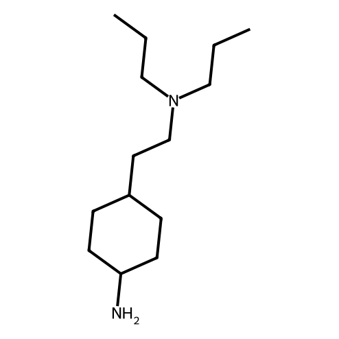 CCCN(CCC)CCC1CCC(N)CC1